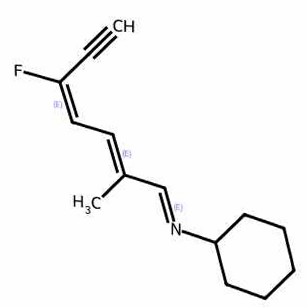 C#C\C(F)=C/C=C(C)/C=N/C1CCCCC1